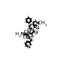 CN1C[C@@H](c2ccccc2)[C@@]2(CCCN(C(=O)[C@@H](COCc3cccnc3)NC(=O)C(C)(C)N)C2)C1=O